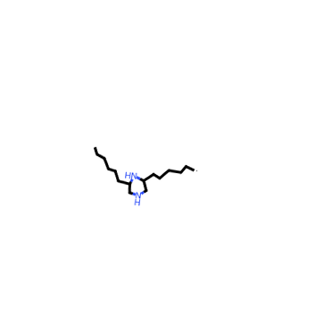 [CH2]CCCCCC1CNCC(CCCCCC)N1